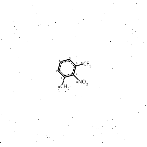 [CH2]c1cccc(C(F)(F)F)c1[N+](=O)[O-]